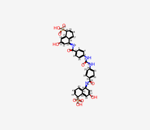 O=C(Nc1ccc(C(=O)N=C2C=C(O)C=C3C2=CC=CC3S(=O)(=O)O)cc1)Nc1ccc(C(=O)N=C2C=C(O)C=C3C2=CC=CC3S(=O)(=O)O)cc1